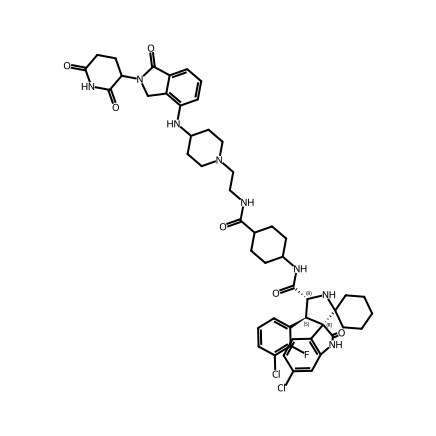 O=C1CCC(N2Cc3c(NC4CCN(CCNC(=O)C5CCC(NC(=O)[C@@H]6NC7(CCCCC7)[C@@]7(C(=O)Nc8cc(Cl)ccc87)[C@H]6c6cccc(Cl)c6F)CC5)CC4)cccc3C2=O)C(=O)N1